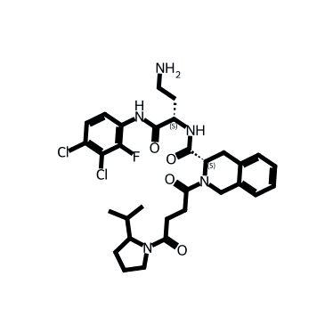 CC(C)C1CCCN1C(=O)CCC(=O)N1Cc2ccccc2C[C@H]1C(=O)N[C@@H](CCN)C(=O)Nc1ccc(Cl)c(Cl)c1F